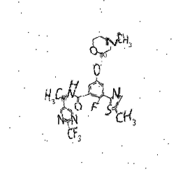 Cc1cnc(-c2cc(OC[C@H]3CN(C)CCO3)cc(C(=O)N[C@H](C)c3cnc(C(F)(F)F)nc3)c2F)s1